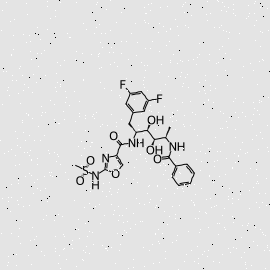 C[C@@H](NC(=O)c1ccccc1)[C@@H](O)[C@H](O)[C@H](Cc1cc(F)cc(F)c1)NC(=O)c1coc(NS(C)(=O)=O)n1